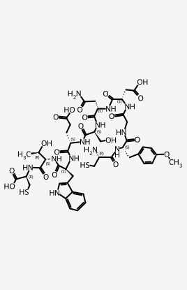 COc1ccc(C[C@H](NC(=O)[C@@H](N)CS)C(=O)NCC(=O)N[C@@H](CC(=O)O)C(=O)N[C@@H](CC(N)=O)C(=O)N[C@@H](CO)C(=O)N[C@@H](CCC(=O)O)C(=O)N[C@@H](Cc2c[nH]c3ccccc23)C(=O)N[C@H](C(=O)N[C@@H](CS)C(=O)O)[C@@H](C)O)cc1